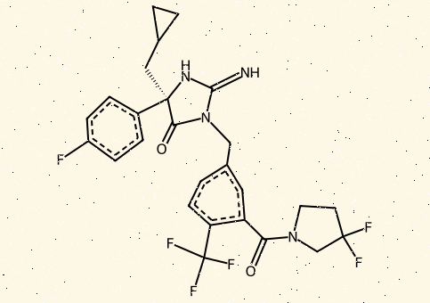 N=C1N[C@](CC2CC2)(c2ccc(F)cc2)C(=O)N1Cc1ccc(C(F)(F)F)c(C(=O)N2CCC(F)(F)C2)c1